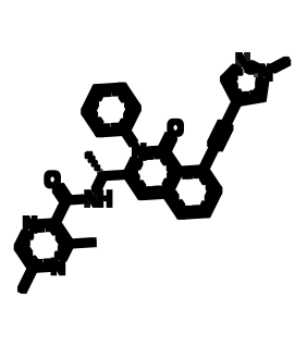 Cc1cnc(C(=O)N[C@H](C)c2cc3cccc(C#Cc4cnn(C)c4)c3c(=O)n2-c2ccccc2)c(C)n1